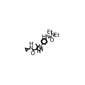 CCN(CC)C(=O)Nc1ccc(-n2nnc(C(=O)NC3CC3)c2C)cc1